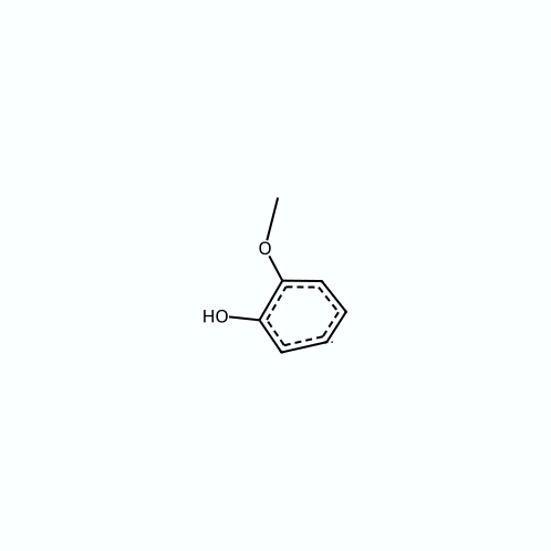 COc1cc[c]cc1O